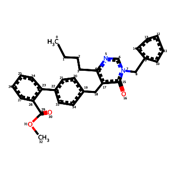 CCCCc1ncn(Cc2ccccc2)c(=O)c1Cc1ccc(-c2ccccc2C(=O)OC)cc1